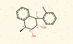 Cc1ccccc1[C@]1(C)c2ccccc2[C@H](C)[C@@H](O)[C@H]1O